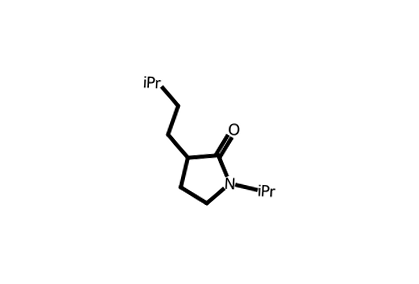 CC(C)CCC1CCN(C(C)C)C1=O